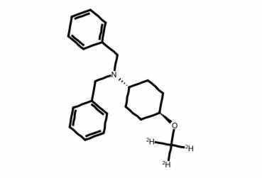 [2H]C([2H])([2H])O[C@H]1CC[C@H](N(Cc2ccccc2)Cc2ccccc2)CC1